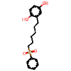 O=S(=O)(CCCCCCc1cc(O)ccc1O)c1ccccc1